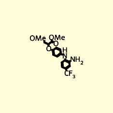 COCC(Oc1ccc(Nc2ccc(C(F)(F)F)cc2N)cc1)C(=O)OC